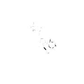 CC(C)[Si](O)(O[Si](OC[C@@H]1C[C@](F)(C#C[Si](C)(C)C)[C@H](n2ccc(=O)[nH]c2=O)O1)(C(C)C)C(C)C)C(C)C